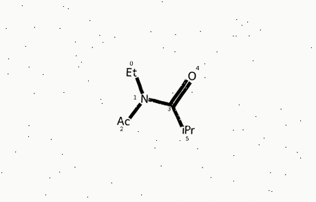 CCN(C(C)=O)C(=O)C(C)C